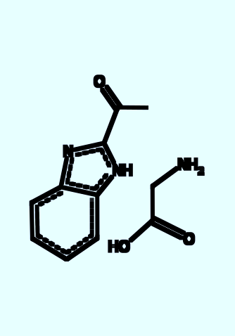 CC(=O)c1nc2ccccc2[nH]1.NCC(=O)O